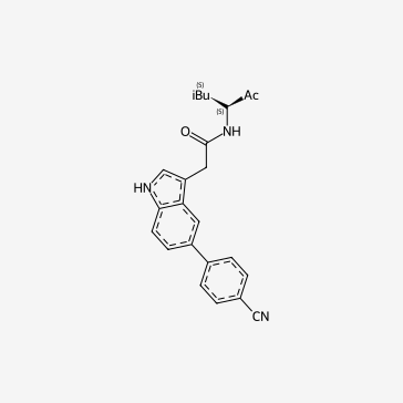 CC[C@H](C)[C@H](NC(=O)Cc1c[nH]c2ccc(-c3ccc(C#N)cc3)cc12)C(C)=O